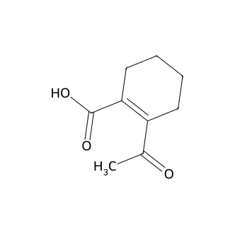 CC(=O)C1=C(C(=O)O)CCCC1